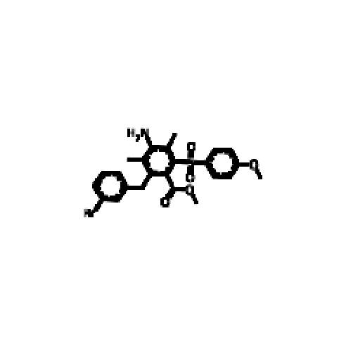 COC(=O)c1c(Cc2cccc(Br)c2)c(C)c(N)c(C)c1S(=O)(=O)c1ccc(OC)cc1